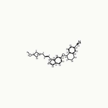 COC1CN(CC=Cn2ncc3ccc(OC4CCCc5cc(C#N)ccc54)cc32)C1